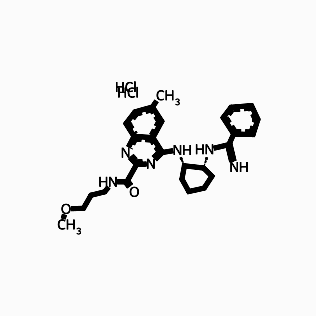 COCCCNC(=O)c1nc(N[C@H]2CCCC[C@H]2NC(=N)c2ccccc2)c2cc(C)ccc2n1.Cl.Cl